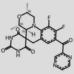 C[C@@H]1CN2c3c(cc(C(=O)c4cnccn4)c(F)c3F)CC3(C(=O)NC(=O)NC3=O)[C@H]2[C@H](C)O1